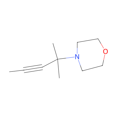 CC#CC(C)(C)N1CCOCC1